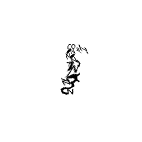 Cc1c(Cc2ccccn2)nnc(N2CCN(c3cnc(C(=O)O)cn3)[C@H](C)C2)c1C